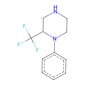 FC(F)(F)C1[CH]NCCN1c1ccccc1